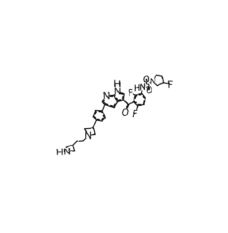 O=C(c1c(F)ccc(NS(=O)(=O)N2CCC(F)C2)c1F)c1c[nH]c2ncc(-c3ccc(C4CN(CCC5CNC5)C4)cc3)cc12